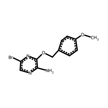 COc1ccc(COc2nc(Br)cnc2N)cc1